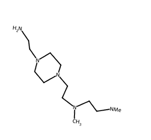 CNCCN(C)CCN1CCN(CCN)CC1